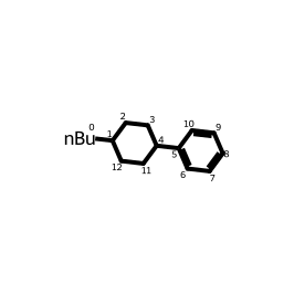 CCCCC1CCC(c2ccccc2)CC1